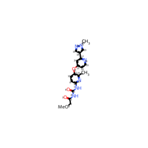 COCC(=O)NC(=O)Nc1ccc(Oc2ccnc(-c3cnn(C)c3)c2)c(C)n1